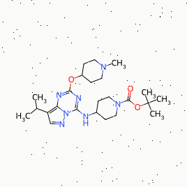 CC(C)c1cnn2c(NC3CCN(C(=O)OC(C)(C)C)CC3)nc(OC3CCN(C)CC3)nc12